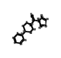 O=C(N1CCC(c2ccccc2)CC1)n1nccn1